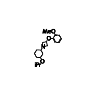 COc1ccccc1OC1CN(C2CCCC(OC(C)C)C2)C1